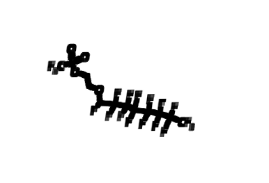 O=S(=O)(OCCOC(F)C(F)(F)C(F)(F)C(F)(F)C(F)(F)C(F)(F)C(F)(F)C(F)(F)F)C(F)(F)F